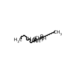 CC/C=C\C/C=C\C/C=C\C/C=C\C/C=C\C/C=C\CCC(=O)N[C@@H](CCCCNC(=O)CCCCCCCCCCCCC)C(C)C